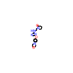 O=C1CCCCN1CCNc1cncc(Oc2ccc(N3CCOCC3)cc2)n1